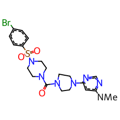 CNc1cc(N2CCN(C(=O)N3CCN(S(=O)(=O)c4ccc(Br)cc4)CC3)CC2)ncn1